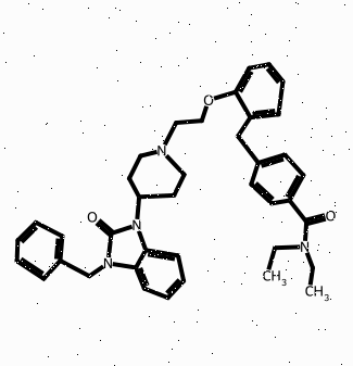 CCN(CC)C(=O)c1ccc(Cc2ccccc2OCCN2CCC(n3c(=O)n(Cc4ccccc4)c4ccccc43)CC2)cc1